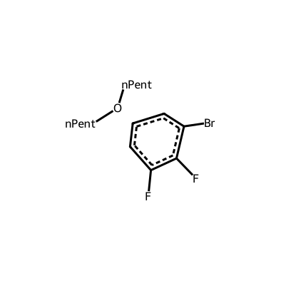 CCCCCOCCCCC.Fc1cccc(Br)c1F